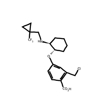 O=C(O)c1ccc(O[C@H]2CCCC[C@@H]2NCC2(C(F)(F)F)CC2)cc1CCl